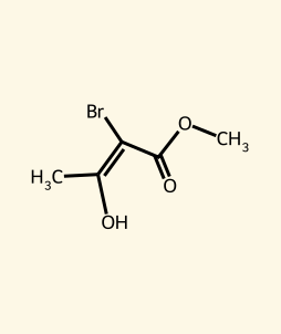 COC(=O)/C(Br)=C(/C)O